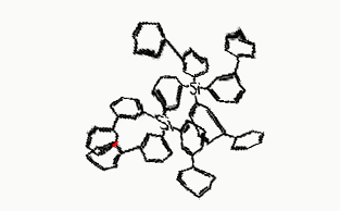 c1ccc(-c2cccc([Si](c3cccc(-c4ccccc4)c3)(c3cccc(-c4ccccc4)c3)c3cccc([Si](c4cccc(-c5ccccc5)c4)(c4cccc(-c5ccccc5)c4)c4cccc(-c5ccccc5)c4)c3)c2)cc1